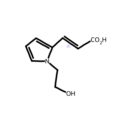 O=C(O)/C=C/c1cccn1CCO